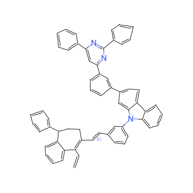 C=CC1=C(/C=C/c2cccc(-n3c4ccccc4c4ccc(-c5cccc(-c6cc(-c7ccccc7)nc(-c7ccccc7)n6)c5)cc43)c2)CCC(c2ccccc2)c2ccccc21